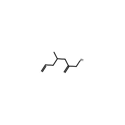 C=CCC(C)CC(=C)CC(C)C